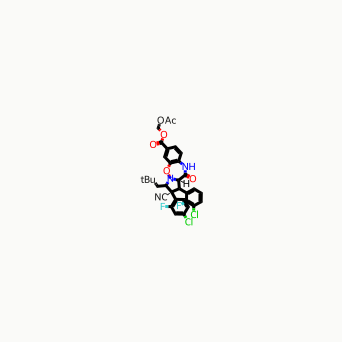 CC(=O)OCOC(=O)c1ccc2c(c1)ON1C(CC(C)(C)C)[C@](C#N)(c3ccc(Cl)cc3F)C(c3cccc(Cl)c3F)[C@@H]1C(=O)N2